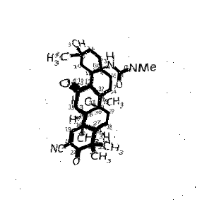 CNC(=O)N[C@]12CCC(C)(C)CC1C1C(=O)C[C@@H]3[C@@]4(C)C=C(C#N)C(=O)C(C)(C)[C@@H]4CC[C@@]3(C)[C@]1(C)CC2